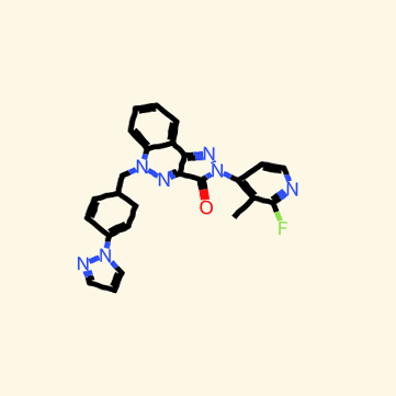 Cc1c(-n2nc3c4ccccc4n(CC4C=CC(n5cccn5)=CC4)nc-3c2=O)ccnc1F